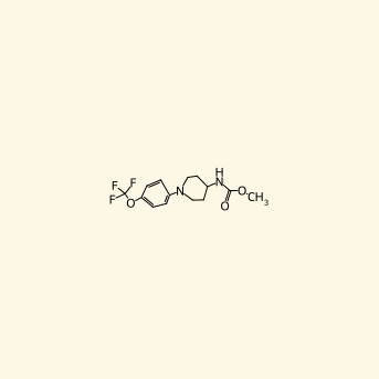 COC(=O)NC1CCN(c2ccc(OC(F)(F)F)cc2)CC1